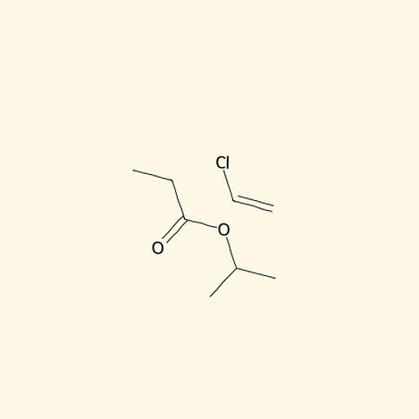 C=CCl.CCC(=O)OC(C)C